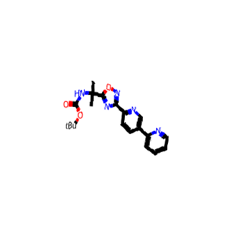 CC(C)(C)OC(=O)NC(C)(C)c1nc(-c2ccc(-c3ccccn3)cn2)no1